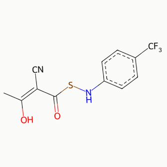 C/C(O)=C(\C#N)C(=O)SNc1ccc(C(F)(F)F)cc1